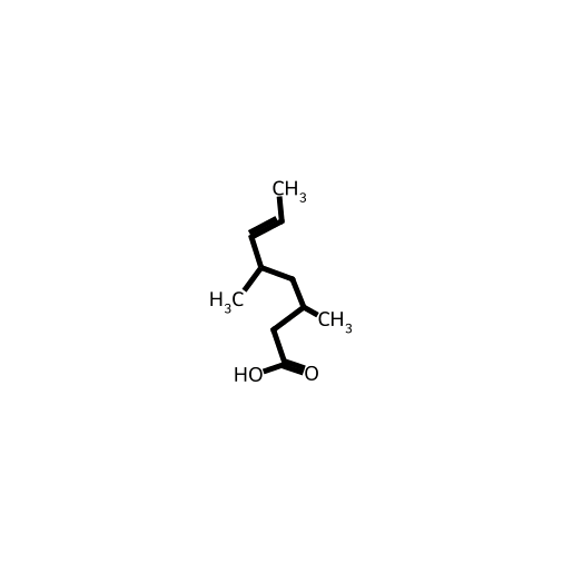 CC=CC(C)CC(C)CC(=O)O